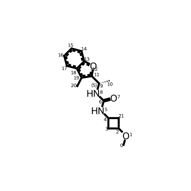 COC1CC(NC(=O)N[C@@H](C)c2oc3ccccc3c2C)C1